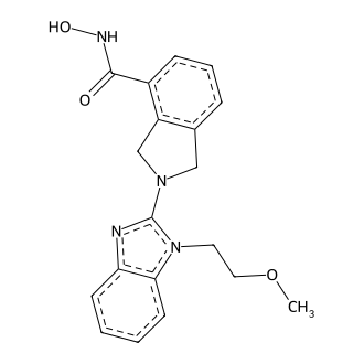 COCCn1c(N2Cc3cccc(C(=O)NO)c3C2)nc2ccccc21